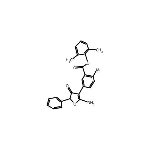 CCc1ccc(C2=C(N)OC(c3ccccc3)C2=O)cc1C(=O)Oc1c(C)cccc1C